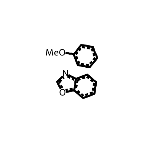 COc1ccccc1.c1ccc2ocnc2c1